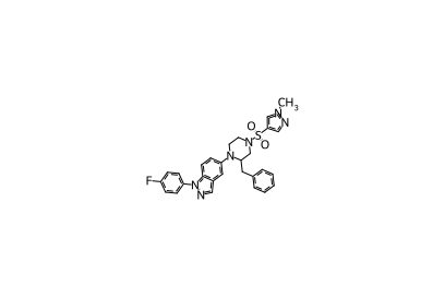 Cn1cc(S(=O)(=O)N2CCN(c3ccc4c(cnn4-c4ccc(F)cc4)c3)C(Cc3ccccc3)C2)cn1